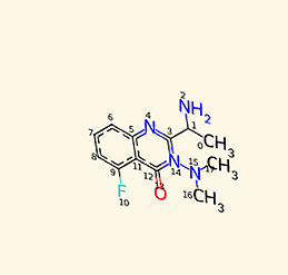 CC(N)c1nc2cccc(F)c2c(=O)n1N(C)C